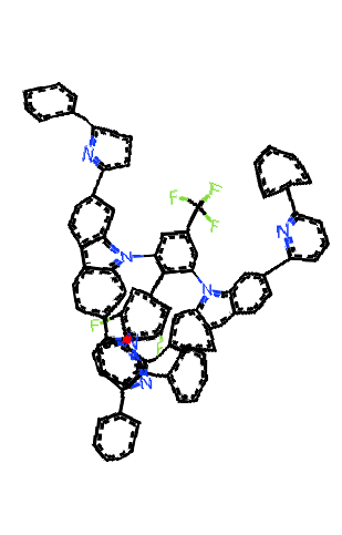 Fc1cc(F)cc(-c2c(-n3c4cc(-c5cccc(-c6ccccc6)n5)ccc4c4ccc(-c5cccc(-c6ccccc6)n5)cc43)cc(C(F)(F)F)cc2-n2c3cc(-c4cccc(-c5ccccc5)n4)ccc3c3ccc(-c4cccc(-c5ccccc5)n4)cc32)c1